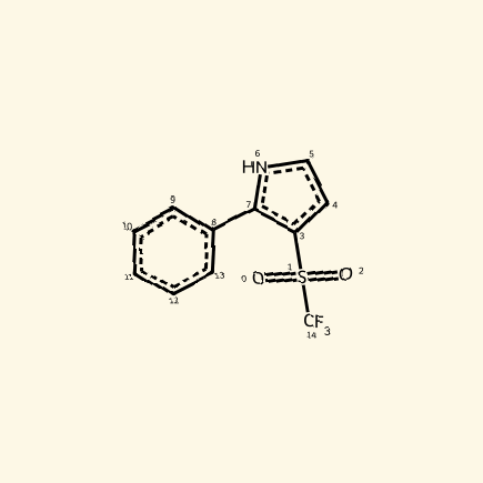 O=S(=O)(c1cc[nH]c1-c1ccccc1)C(F)(F)F